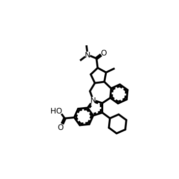 CC1C(C(=O)N(C)C)CC2Cn3c(c(C4CCCCC4)c4ccc(C(=O)O)cc43)-c3ccccc3C21